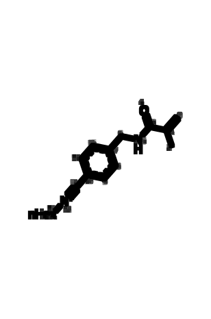 C=C(C)C(=O)NCc1ccc(C#[N+]CCCCCC)cc1